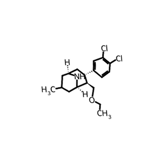 CCOC[C@@H]1[C@@H](c2ccc(Cl)c(Cl)c2)C[C@@H]2CC(C)C[C@H]1N2